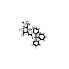 COC(=O)NC(CCSC(c1ccccc1)(c1ccccc1)c1ccccc1)C(=O)O